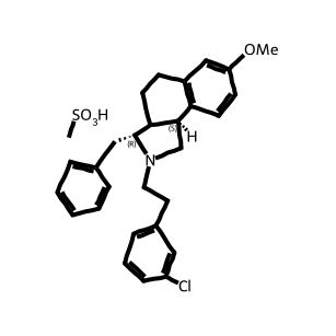 COc1ccc2c(c1)CCC1[C@@H]2CN(CCc2cccc(Cl)c2)[C@@H]1Cc1ccccc1.CS(=O)(=O)O